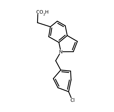 O=C(O)Cc1ccc2ccn(Cc3ccc(Cl)cc3)c2c1